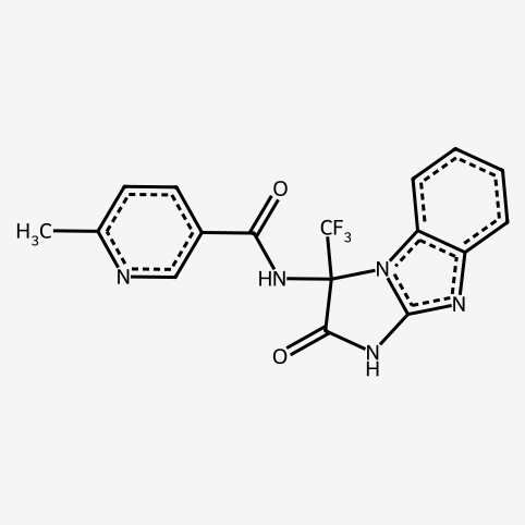 Cc1ccc(C(=O)NC2(C(F)(F)F)C(=O)Nc3nc4ccccc4n32)cn1